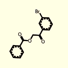 O=C(COC(=O)c1ccccc1)c1cccc(Br)c1